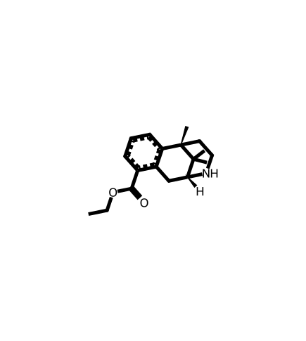 CCOC(=O)c1cccc2c1C[C@H]1NCC[C@]2(C)C1(C)C